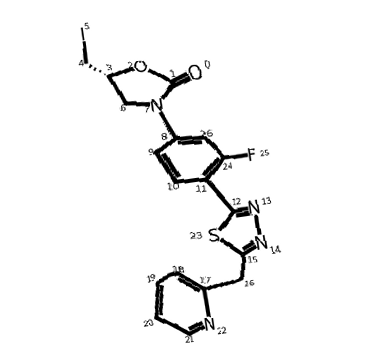 O=C1O[C@@H](CI)CN1c1ccc(-c2nnc(Cc3ccccn3)s2)c(F)c1